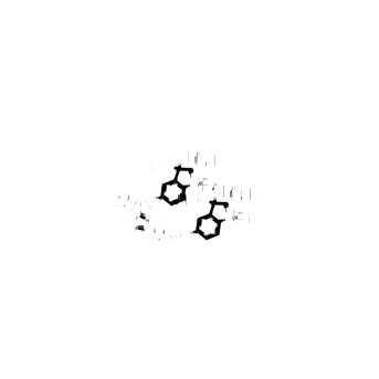 CC[N+]1=C(C)C(C)(C)c2cc(OC)ccc21.CC[N+]1=C(C)C(C)(C)c2cc(OC)ccc21.O=S(=O)([O-])[O-]